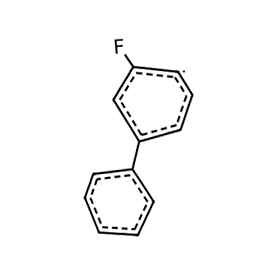 Fc1[c]ccc(-c2ccccc2)c1